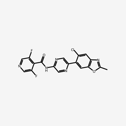 Cc1nc2cc(Cl)c(-c3cnc(NC(=O)c4c(F)cncc4F)cn3)cc2o1